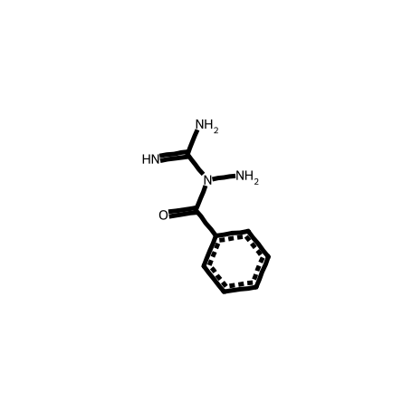 N=C(N)N(N)C(=O)c1ccccc1